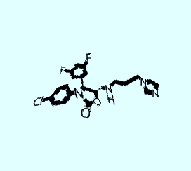 O=C1O[C@@H](CNCCCn2ccnc2)[C@H](c2cc(F)cc(F)c2)N1c1ccc(Cl)cc1